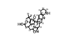 COc1c(C(C)(C)C)cc(C(CC(=O)O)Cc2nc(CCCc3ccc4c(n3)NCCC4)no2)cc1C(C)(C)C